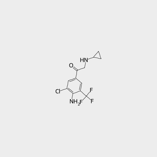 Nc1c(Cl)cc(C(=O)CNC2CC2)cc1C(F)(F)F